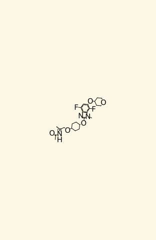 CC(=O)N[C@@H](C)CO[C@H]1CC[C@H](Oc2nc3c(F)cc(OC4CCOCC4)c(F)c3n2C)CC1